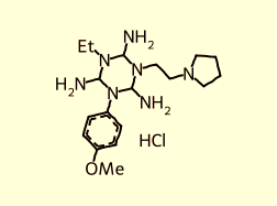 CCN1C(N)N(CCN2CCCC2)C(N)N(c2ccc(OC)cc2)C1N.Cl